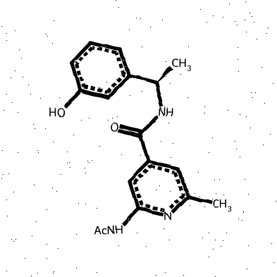 CC(=O)Nc1cc(C(=O)N[C@H](C)c2cccc(O)c2)cc(C)n1